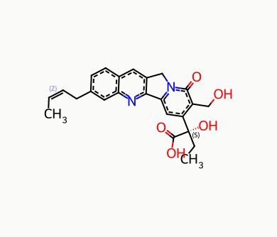 C/C=C\Cc1ccc2cc3c(nc2c1)-c1cc([C@@](O)(CC)C(=O)O)c(CO)c(=O)n1C3